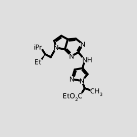 CCOC(=O)C(C)n1cc(Nc2ncc3ccn(C[C@@H](CC)C(C)C)c3n2)cn1